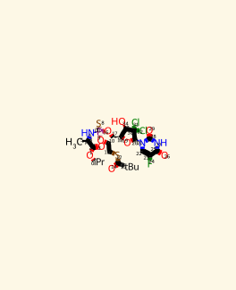 CC(C)OC(=O)[C@@H](C)N[P@@](=S)(OCCSC(=O)C(C)(C)C)OC[C@H]1O[C@@H](n2cc(F)c(=O)[nH]c2=O)C(Cl)(Cl)[C@@H]1O